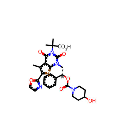 Cc1c(-c2ncco2)sc2c1c(=O)n(C(C)(C)C(=O)O)c(=O)n2C[C@H](OC(=O)N1CCC(O)CC1)c1ccccc1